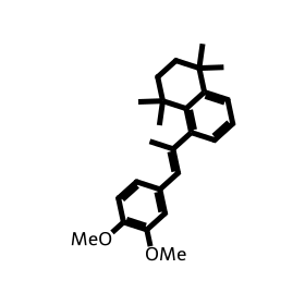 COc1ccc(/C=C(\C)c2cccc3c2C(C)(C)CCC3(C)C)cc1OC